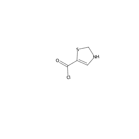 O=C(Cl)C1=CNCS1